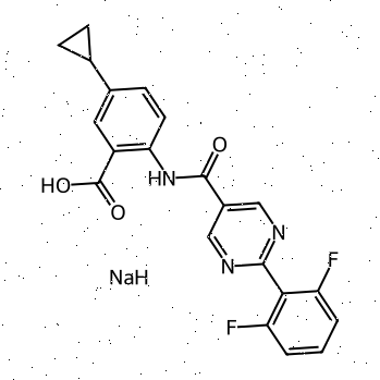 O=C(Nc1ccc(C2CC2)cc1C(=O)O)c1cnc(-c2c(F)cccc2F)nc1.[NaH]